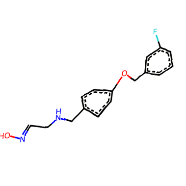 O/N=C/CNCc1ccc(OCc2cccc(F)c2)cc1